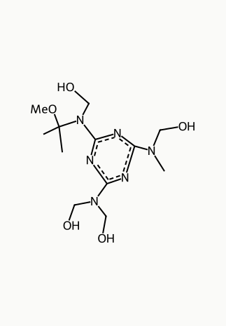 COC(C)(C)N(CO)c1nc(N(C)CO)nc(N(CO)CO)n1